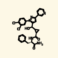 NC(=O)[C@H](Cc1ccccc1)NC(=O)[C@@H]1CC1C(O)c1cc(-c2cccnc2)nn1-c1ccc(Cl)c(Cl)c1